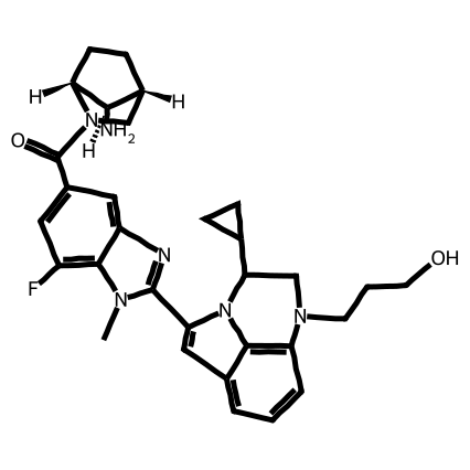 Cn1c(-c2cc3cccc4c3n2C(C2CC2)CN4CCCO)nc2cc(C(=O)N3C[C@H]4CC[C@@H]3[C@@H]4N)cc(F)c21